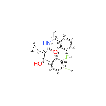 C[C@@H](NC(=O)C(C1CC1)C(O)c1ccc(F)c(F)c1)c1ccccc1